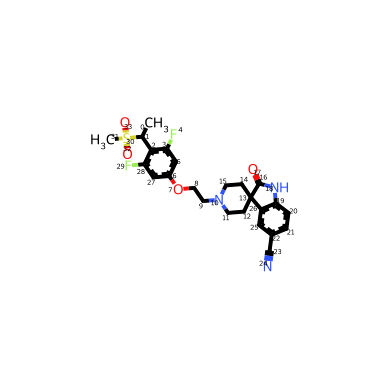 CC(c1c(F)cc(OCCN2CCC3(CC2)C(=O)Nc2ccc(C#N)cc23)cc1F)S(C)(=O)=O